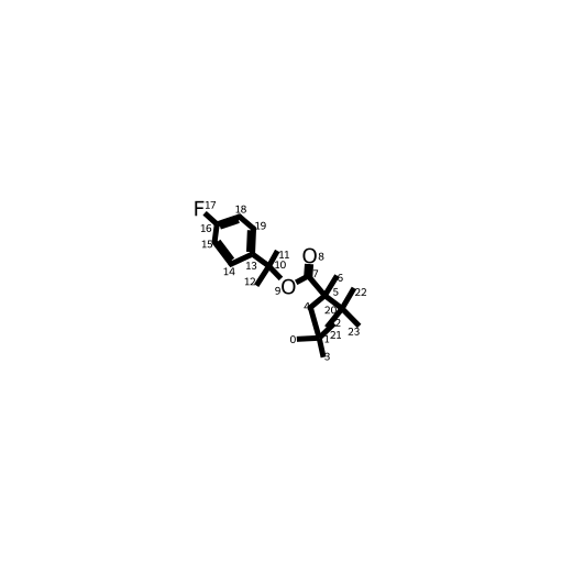 CC(C)(C)CC(C)(C(=O)OC(C)(C)c1ccc(F)cc1)C(C)(C)C